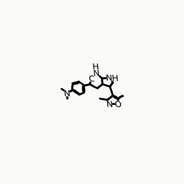 Cc1noc(C)c1C1CNC2NCC(c3ccc(N(C)C)cc3)CC21